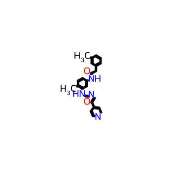 Cc1cccc(CC(=O)Nc2ccc(C)c(Nc3ncc(-c4ccncc4)o3)c2)c1